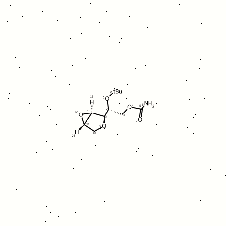 CC(C)(C)O[C@H](COC(N)=O)[C@H]1OC[C@@H]2O[C@@H]12